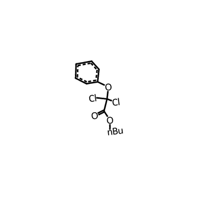 CCCCOC(=O)C(Cl)(Cl)Oc1ccccc1